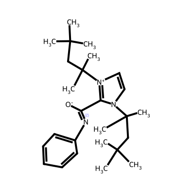 CC(C)(C)CC(C)(C)n1cc[n+](C(C)(C)CC(C)(C)C)c1/C([O-])=N/c1ccccc1